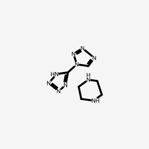 C1CNCCN1.c1nnnn1-c1nnn[nH]1